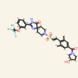 Cc1cc(C(=O)N2CC[C@@H](O)C2)cc(C)c1/C=C/S(=O)(=O)N1CCC2(CC1)N=C(c1cccc(OC(F)(F)F)c1)NC2=O